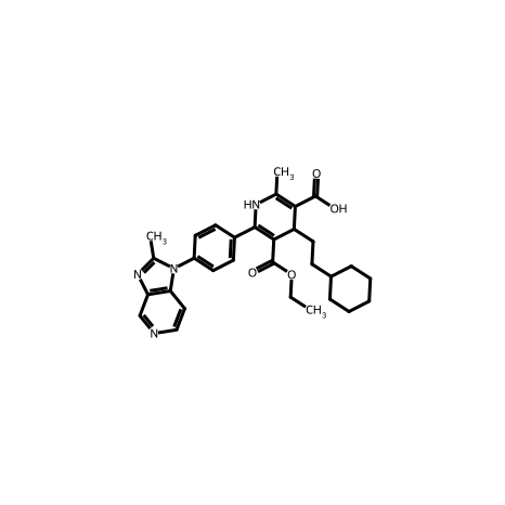 CCOC(=O)C1=C(c2ccc(-n3c(C)nc4cnccc43)cc2)NC(C)=C(C(=O)O)C1CCC1CCCCC1